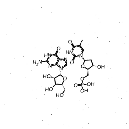 Cc1cn([C@H]2C[C@H](O)[C@@H](COP(=O)(O)O)O2)c(=O)[nH]c1=O.Nc1nc2c(ncn2[C@@H]2O[C@H](CO)[C@@H](O)[C@H]2O)c(=O)[nH]1